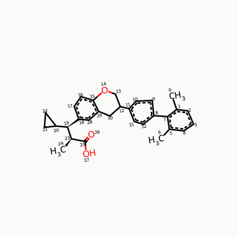 Cc1cccc(C)c1-c1ccc(C2COc3ccc([C@H](C4CC4)[C@H](C)C(=O)O)cc3C2)cc1